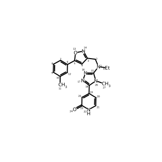 CCN(Cc1cc(-c2cccc(C)c2)on1)c1nnc(-c2cc[nH]c(=O)c2)n1C